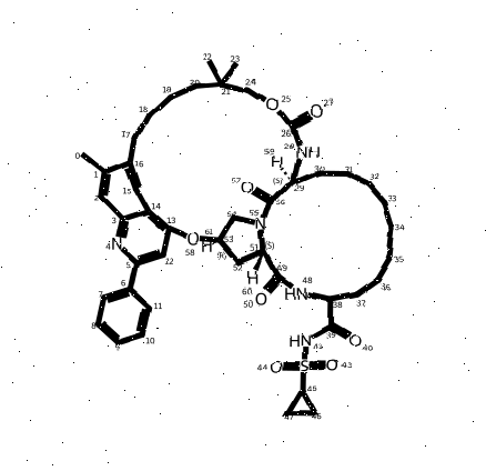 Cc1cc2nc(-c3ccccc3)cc3c2cc1CCCCC(C)(C)COC(=O)N[C@H]1CCCCCCCCC(C(=O)NS(=O)(=O)C2CC2)NC(=O)[C@@H]2C[C@H](CN2C1=O)O3